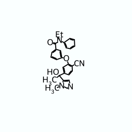 CCN(C(=O)c1cccc(Oc2cc(C(C)(O)c3cncn3C)ccc2C#N)c1)c1ccccc1